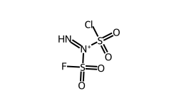 N=[N+](S(=O)(=O)F)S(=O)(=O)Cl